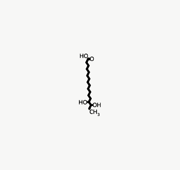 CCC(O)C(O)CCCCCCCCCCCCC(=O)O